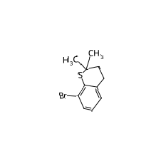 CC1(C)CCc2cccc(Br)c2S1